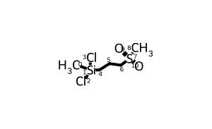 C[Si](Cl)(Cl)CCCS(C)(=O)=O